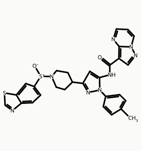 Cc1ccc(-n2nc(C3CCN([S+]([O-])c4ccc5ncsc5c4)CC3)cc2NC(=O)c2cnn3cccnc23)cc1